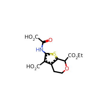 CCOC(=O)C1OCCc2c1sc(NC(=O)C(=O)O)c2C(=O)O